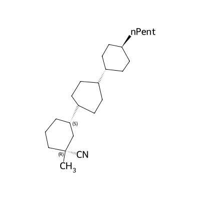 CCCCC[C@H]1CC[C@H](C2CCC([C@H]3CCC[C@@](C)(C#N)C3)CC2)CC1